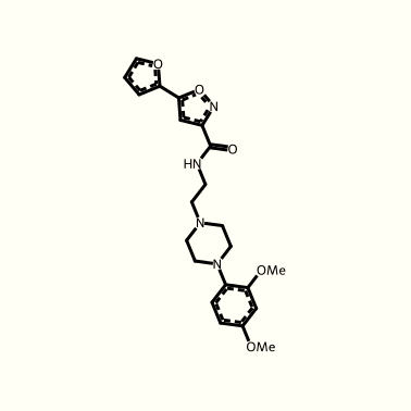 COc1ccc(N2CCN(CCNC(=O)c3cc(-c4ccco4)on3)CC2)c(OC)c1